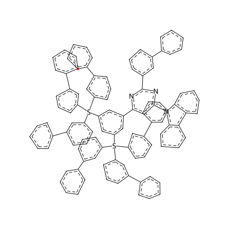 c1ccc(-c2cccc(-c3nc(-c4cc(S(c5cccc(-c6ccccc6)c5)(c5cccc(-c6ccccc6)c5)c5cccc(-c6ccccc6)c5)cc(S(c5cccc(-c6ccccc6)c5)(c5cccc(-c6ccccc6)c5)c5cccc(-c6ccccc6)c5)c4)cc(-n4c5ccccc5c5ccccc54)n3)c2)cc1